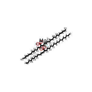 CCCCCCCCCCCCCCCCC(CCCCCCCCCCCC)C(=O)[O-].CCCCCCCCCCCCCCCCC(CCCCCCCCCCCC)C(=O)[O-].[Mg+2]